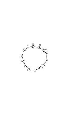 C1CSCCSCCCSCCSC1